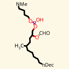 CCCCCCCCCCCCCCCC(C)CCC(COP(O)OCCCCNC)OC=O